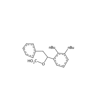 CCCCc1cccc(C(Cc2ccccc2)OC(=O)O)c1CCCC